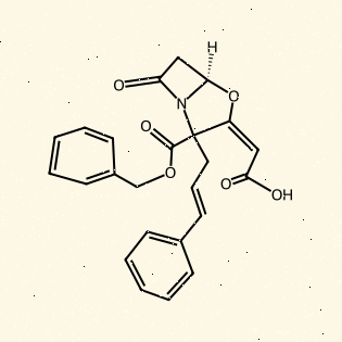 O=C(O)/C=C1/O[C@@H]2CC(=O)N2C1(C/C=C/c1ccccc1)C(=O)OCc1ccccc1